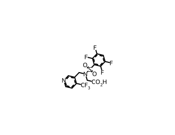 O=C(O)CN(Cc1cnccc1C(F)(F)F)S(=O)(=O)c1c(F)c(F)cc(F)c1F